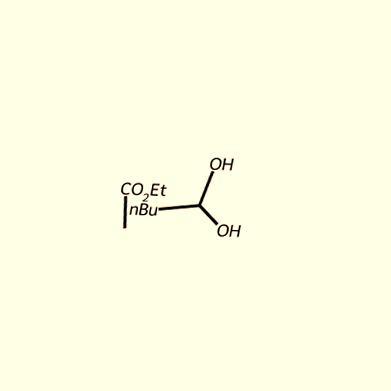 CCCCC(O)O.CCOC(C)=O